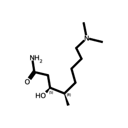 C[C@H](CCCCN(C)C)[C@@H](O)CC(N)=O